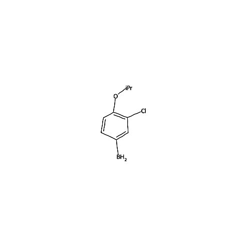 Bc1ccc(OC(C)C)c(Cl)c1